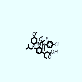 CCC(CC(=O)O)c1ccc(N(CC(C)C)C2CCC(OC)CC2)c(NC(C)(Nc2ccc(Cl)cc2F)OC)c1